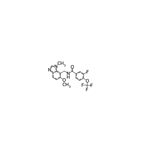 COc1ccc2ncn(C)c2c1CNC(=O)c1ccc(OC(F)(F)F)c(F)c1